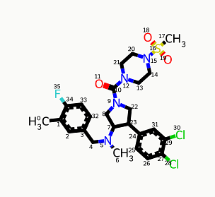 Cc1cc(CN(C)C2CN(C(=O)N3CCN(S(C)(=O)=O)CC3)CC2c2ccc(Cl)c(Cl)c2)ccc1F